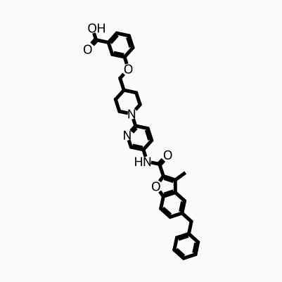 Cc1c(C(=O)Nc2ccc(N3CCC(COc4cccc(C(=O)O)c4)CC3)nc2)oc2ccc(Cc3ccccc3)cc12